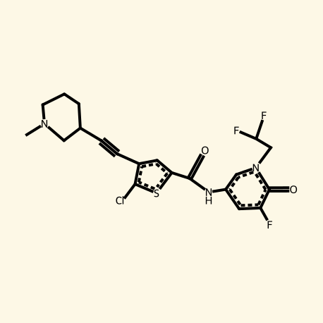 CN1CCCC(C#Cc2cc(C(=O)Nc3cc(F)c(=O)n(CC(F)F)c3)sc2Cl)C1